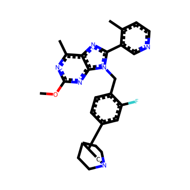 COc1nc(C)c2nc(-c3cnccc3C)n(Cc3ccc(C4CN5CCC4CC5)cc3F)c2n1